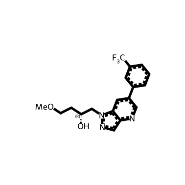 COCC[C@@H](O)Cn1ncc2ncc(-c3cccc(C(F)(F)F)c3)cc21